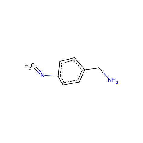 C=Nc1ccc(CN)cc1